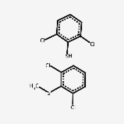 CSc1c(Cl)cccc1Cl.Sc1c(Cl)cccc1Cl